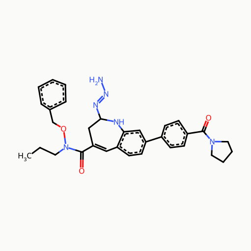 CCCN(OCc1ccccc1)C(=O)C1=Cc2ccc(-c3ccc(C(=O)N4CCCC4)cc3)cc2NC(N=NN)C1